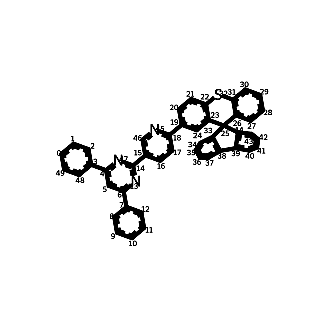 c1ccc(-c2cc(-c3ccccc3)nc(-c3ccc(-c4ccc5c(c4)C4(c6ccccc6S5)c5ccccc5-c5ccccc54)nc3)n2)cc1